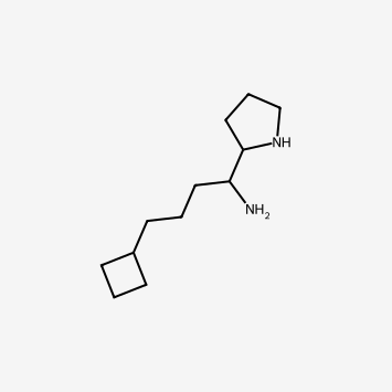 NC(CCCC1CCC1)C1CCCN1